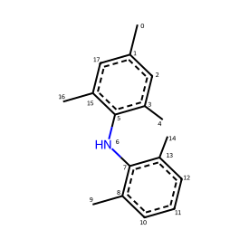 Cc1cc(C)c(Nc2c(C)cccc2C)c(C)c1